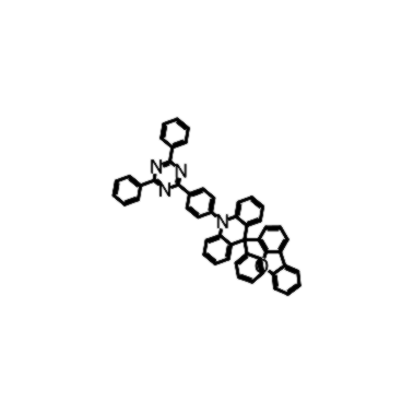 c1ccc(-c2nc(-c3ccccc3)nc(-c3ccc(N4c5ccccc5C(c5ccccc5)(c5cccc6c5oc5ccccc56)c5ccccc54)cc3)n2)cc1